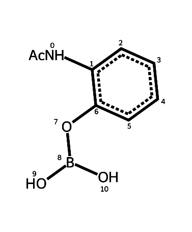 CC(=O)Nc1ccccc1OB(O)O